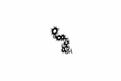 CCC1CCC(O)C1C(=O)C1CCN(Cc2ccc3cc(OC4CCCCC4)ccc3n2)CC1